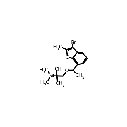 Cc1oc2c(C(C)OCC(C)(C)[SiH](C)C)cccc2c1Br